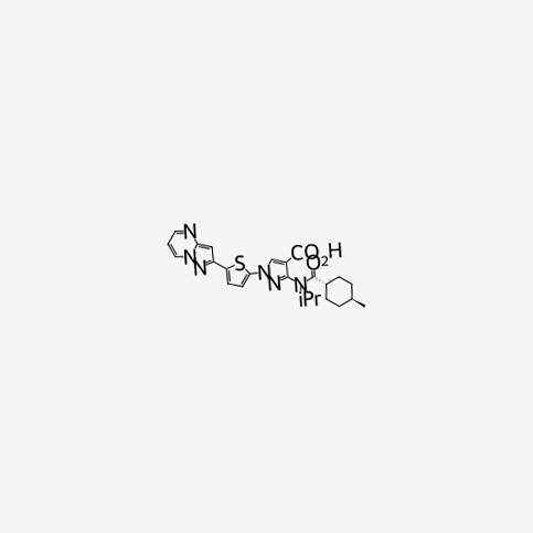 CC(C)N(c1nn(-c2ccc(-c3cc4ncccn4n3)s2)cc1C(=O)O)C(=O)[C@H]1CC[C@H](C)CC1